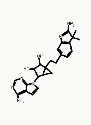 CC1(C)C(N)=Nc2cc(CCC34CC3C(n3ccc5c(N)ncnc53)C(O)C4O)ccc21